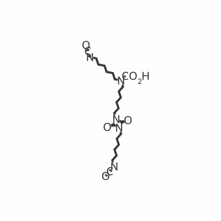 O=C=NCCCCCCN(CCCCCCN1C(=O)N(CCCCCCN=C=O)C1=O)C(=O)O